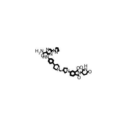 NC(=O)c1ncc(-n2cccn2)nc1Nc1ccc(C2CCN(C[C@H]3CCN(c4ccc5c(c4)C(=O)N(C4CCC(=O)NC4=O)C5=O)C3)CC2)cc1